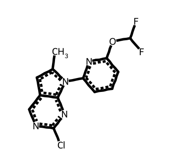 Cc1cc2cnc(Cl)nc2n1-c1cccc(OC(F)F)n1